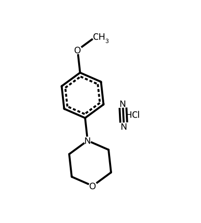 COc1ccc(N2CCOCC2)cc1.Cl.N#N